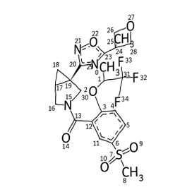 CC(Oc1ccc(S(C)(=O)=O)cc1C(=O)N1CC2C[C@]2(c2noc(C3(C)COC3)n2)C1)C(F)(F)F